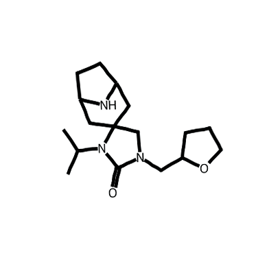 CC(C)N1C(=O)N(CC2CCCO2)CC12CC1CCC(C2)N1